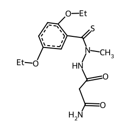 CCOc1ccc(OCC)c(C(=S)N(C)NC(=O)CC(N)=O)c1